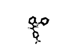 CN(C)c1ccc(C(=O)c2nn(-c3ccccc3)c3ccccc23)cc1